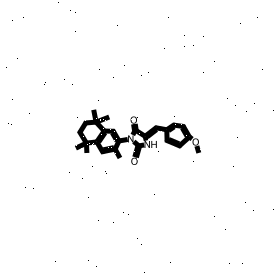 COc1ccc(C=C2NC(=O)N(c3cc4c(cc3C)C(C)(C)CCC4(C)C)C2=O)cc1